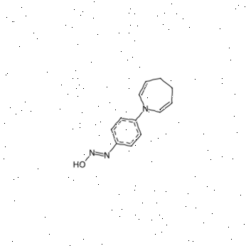 ON=Nc1ccc(N2C=CCCC=C2)cc1